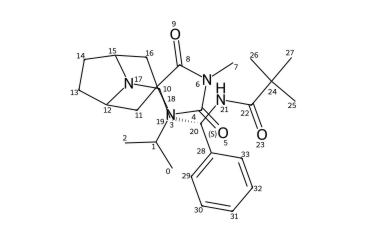 CC(C)N1C(=O)N(C)C(=O)C12CC1CCC(C2)N1CC[C@H](NC(=O)C(C)(C)C)c1ccccc1